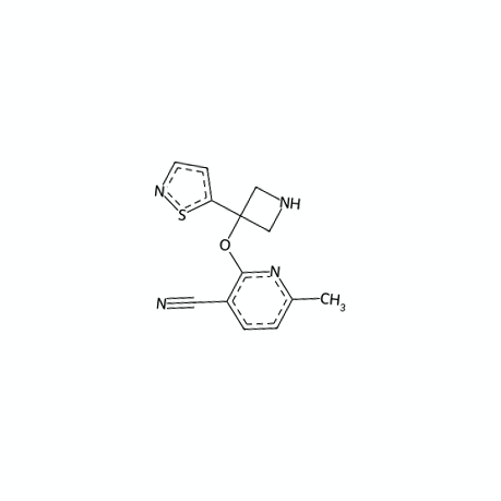 Cc1ccc(C#N)c(OC2(c3ccns3)CNC2)n1